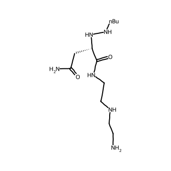 CCCCNN[C@@H](CC(N)=O)C(=O)NCCNCCN